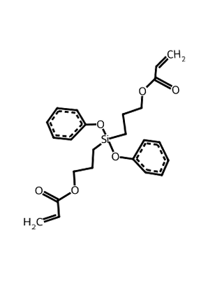 C=CC(=O)OCCC[Si](CCCOC(=O)C=C)(Oc1ccccc1)Oc1ccccc1